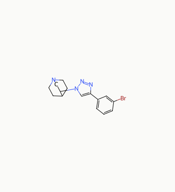 Brc1cccc(-c2cn(C3CN4CCC3CC4)nn2)c1